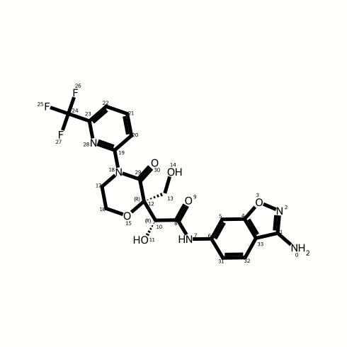 Nc1noc2cc(NC(=O)[C@H](O)[C@@]3(CO)OCCN(c4cccc(C(F)(F)F)n4)C3=O)ccc12